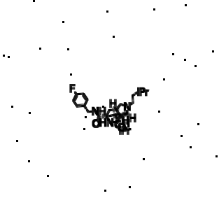 CC(C)CCN1C[C@H]2C[C@]3(C(=O)NCc4ccc(F)cc4)NC(=O)[C@H]2[C@H]1[C@H]3CC(C)C